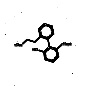 CCCCCCCCCCCCc1ccccc1-c1c(O)cccc1CCCCCCC